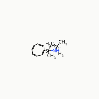 CC(C)(C)N[Si](C)(C)C1=CC=CC=CC=C1